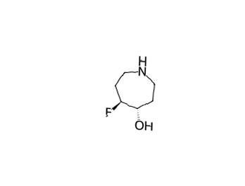 O[C@H]1CCNCC[C@@H]1F